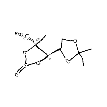 CCOC(=O)[C@@]1(C)OS(=O)O[C@@H]1C1COC(C)(C)O1